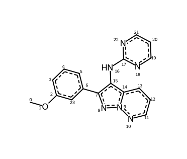 COc1cccc(-c2nn3ncccc3c2Nc2ncccn2)c1